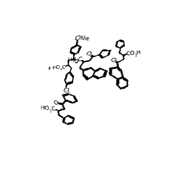 COc1ccc(C(=O)CC(Cc2ccc(Cl)cc2)C(=O)O)cc1.O=C(CC(Cc1ccc2ccccc2c1)C(=O)O)c1ccccc1.O=C(CC(Cc1ccccc1)C(=O)O)c1ccc2ccccc2c1.O=C(CC(Cc1ccccc1)C(=O)O)c1ccccc1